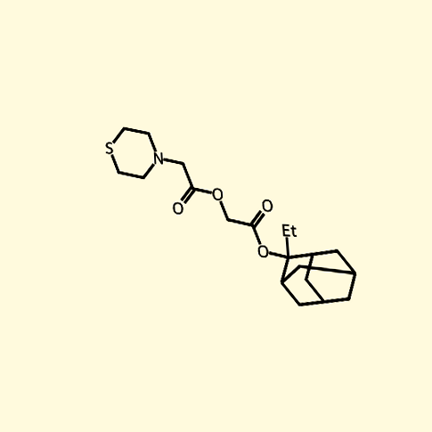 CCC1(OC(=O)COC(=O)CN2CCSCC2)C2CC3CC(C2)CC1C3